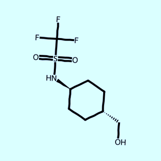 O=S(=O)(N[C@H]1CC[C@H](CO)CC1)C(F)(F)F